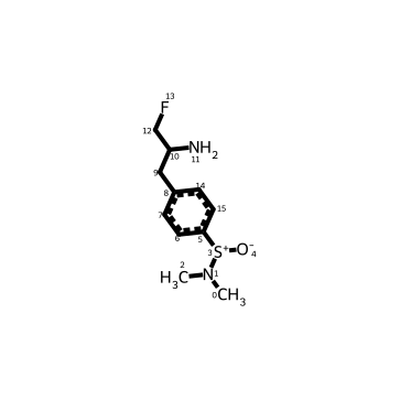 CN(C)[S+]([O-])c1ccc(CC(N)CF)cc1